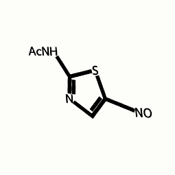 CC(=O)Nc1ncc(N=O)s1